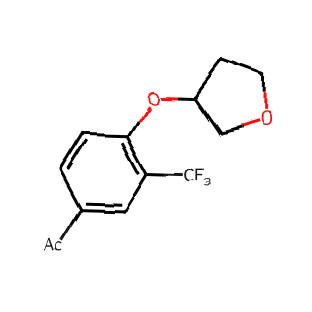 CC(=O)c1ccc(OC2CCOC2)c(C(F)(F)F)c1